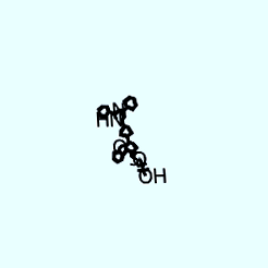 CC(C)(O)C(C)(C)OSc1ccc(-c2ccc(C3C=C(c4ccccc4)N=C(c4ccccc4)N3)cc2)c2oc3ccccc3c12